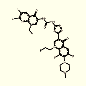 CCn1cc(NC(=O)Nc2nnc(-c3cn(CCF)c4c(F)c(N5CCN(C)CC5)c(F)cc4c3=O)o2)c(=O)c2cc(F)c(Cl)nc21